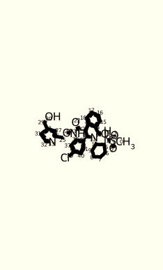 CS(=O)(=O)N[C@H]1CCCC[C@@H]1N1C(=O)c2ccccc2[C@@H](C(=O)NOCc2cc(CO)ccn2)[C@@H]1c1ccc(Cl)cc1